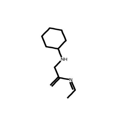 C=C(CNC1CCCCC1)/N=C\C